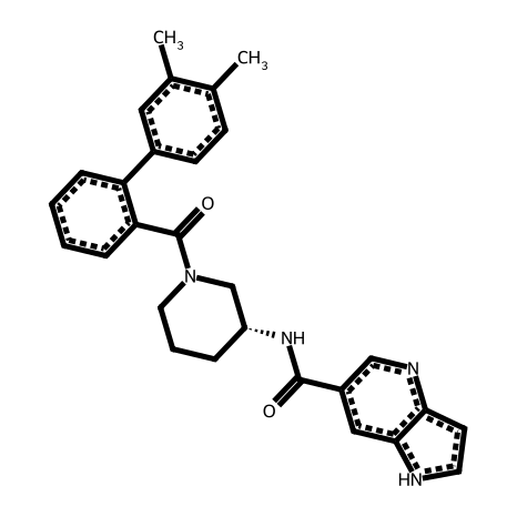 Cc1ccc(-c2ccccc2C(=O)N2CCC[C@@H](NC(=O)c3cnc4cc[nH]c4c3)C2)cc1C